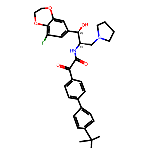 CC(C)(C)c1ccc(-c2ccc(C(=O)C(=O)N[C@H](CN3CCCC3)[C@H](O)c3cc(F)c4c(c3)OCCO4)cc2)cc1